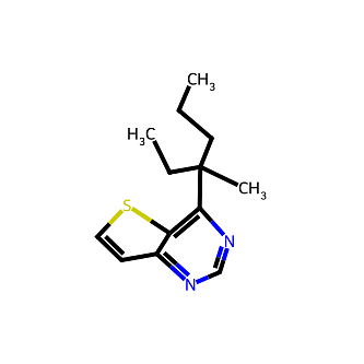 CCCC(C)(CC)c1ncnc2ccsc12